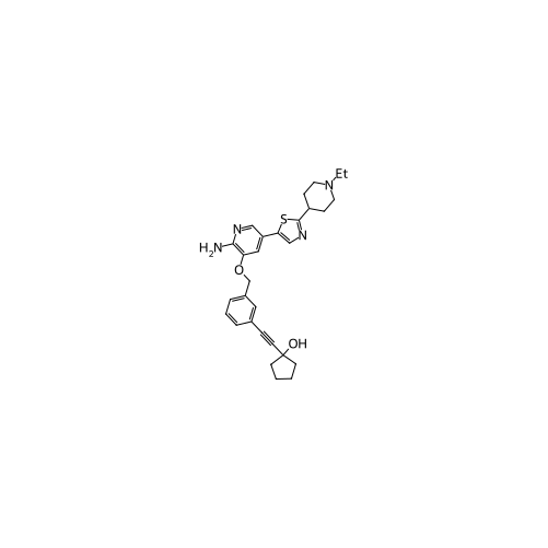 CCN1CCC(c2ncc(-c3cnc(N)c(OCc4cccc(C#CC5(O)CCCC5)c4)c3)s2)CC1